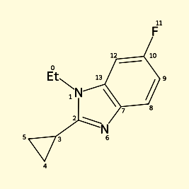 CCn1c(C2CC2)nc2ccc(F)cc21